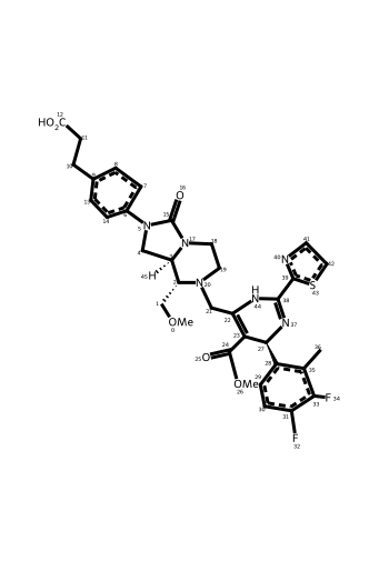 COC[C@@H]1[C@H]2CN(c3ccc(CCC(=O)O)cc3)C(=O)N2CCN1CC1=C(C(=O)OC)[C@H](c2ccc(F)c(F)c2C)N=C(c2nccs2)N1